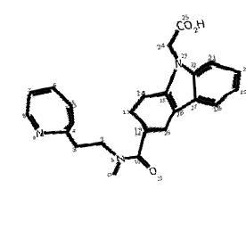 CN(CCc1ccccn1)C(=O)C1CCc2c(c3ccccc3n2CC(=O)O)C1